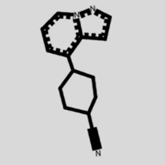 N#CC1CCC(c2cccn3nccc23)CC1